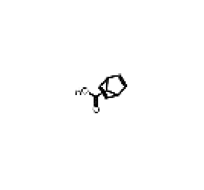 O=C(O)C1C2C=CC1C=C2